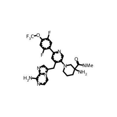 CNC(=O)C1(N)CCCN(c2cnc(-c3cc(F)c(OC(F)(F)F)cc3F)cc2Cc2cnc3c(N)nccn23)C1